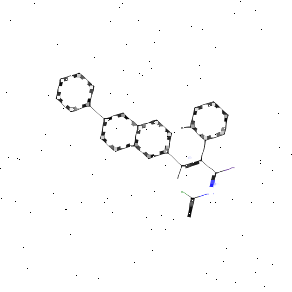 C=C(Cl)/N=C(I)\C(=C(/C)c1ccc2cc(-c3ccccc3)ccc2c1)c1ccccc1C